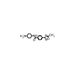 Cc1nc(-c2ccc(C(=O)NC3CCC(N)CC3)cc2)no1